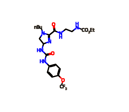 CCCCN1CC(NC(=O)Nc2ccc(OC(F)(F)F)cc2)N=C1C(=O)NCCNC(=O)OCC